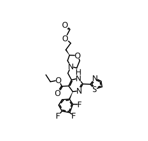 CCOC(=O)C1=C(CN2CCO[C@H](CCOC=O)C2)NC(c2nccs2)=N[C@H]1c1ccc(F)c(F)c1F